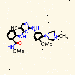 CONC(=O)c1ccccc1Nc1nc(Nc2ccc(OC)c(N3CCN(C)CC3)c2)ncc1C#N